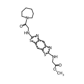 COC(=O)CNc1nc2cc3nc(NCC(=O)N4CCCCCC4)sc3cc2s1